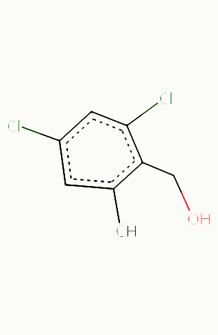 Cc1cc(Cl)cc(Cl)c1CO